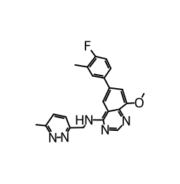 COc1cc(-c2ccc(F)c(C)c2)cc2c(NCc3ccc(C)nn3)ncnc12